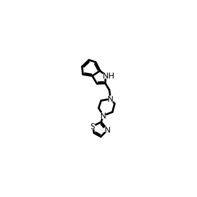 c1ccc2[nH]c(CN3CCN(c4nccs4)CC3)cc2c1